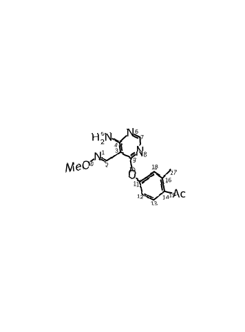 CON=Cc1c(N)ncnc1Oc1ccc(C(C)=O)c(C)c1